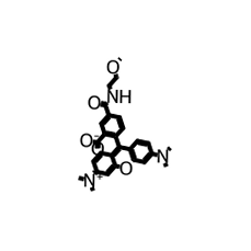 COCCNC(=O)c1ccc(-c2c3ccc(=[N+](C)C)cc-3oc3cc(N(C)C)ccc23)c(C(=O)[O-])c1